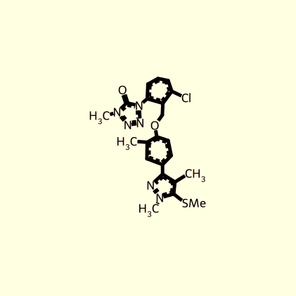 CSc1c(C)c(-c2ccc(OCc3c(Cl)cccc3-n3nnn(C)c3=O)c(C)c2)nn1C